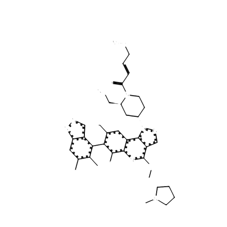 COC/C=C/C(=O)N1CC[C@H](n2ncc3c(OC[C@@H]4CCCN4C)nc4c(F)c(-c5c(C)c(C)cc6[nH]ncc56)c(Cl)cc4c32)C[C@H]1CC#N